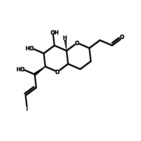 O=CCC1CCC2O[C@@H](C(O)/C=C/I)C(O)C(O)[C@H]2O1